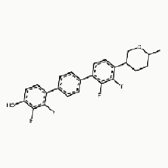 CC1CCC(c2ccc(-c3ccc(-c4ccc(O)c(F)c4F)cc3)c(F)c2F)CO1